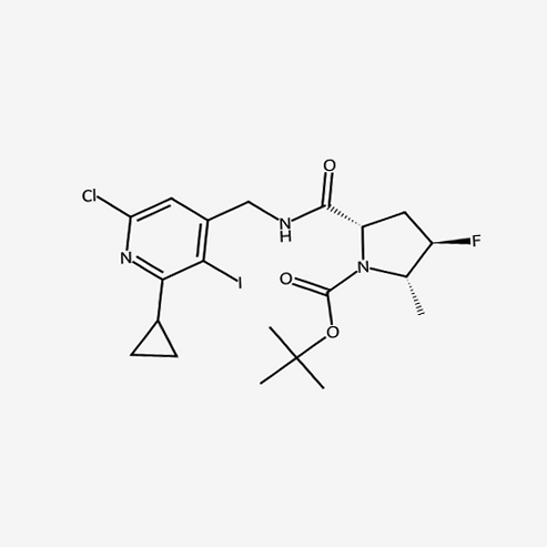 C[C@H]1[C@H](F)C[C@@H](C(=O)NCc2cc(Cl)nc(C3CC3)c2I)N1C(=O)OC(C)(C)C